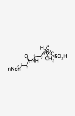 CCCCCCCCCCCC(=O)NCCC[N+](C)(C)CS(=O)(=O)O